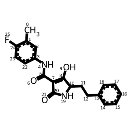 Cc1cc(NC(=O)C2=C(O)C(CCc3ccccc3)NC2=O)ccc1F